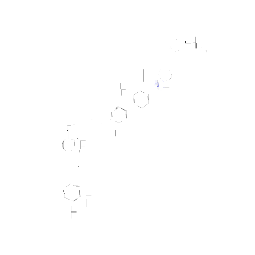 CCCCO/C(F)=C(\F)c1ccc(-c2ccc(C3CCC(C(F)(F)OC4CCC(c5cc(F)c(F)c(F)c5)CC4)CC3)c(F)c2)c(F)c1